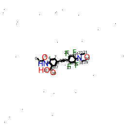 CCC(=O)Nc1ccc(C#Cc2c(F)c(F)c(N3CCOCC3)c(F)c2F)cc1C(=O)O